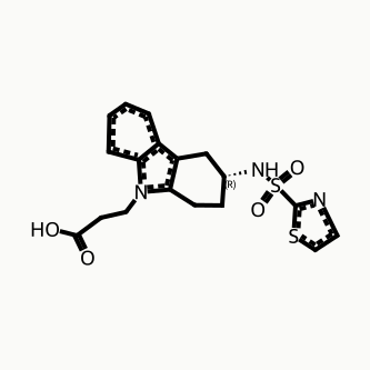 O=C(O)CCn1c2c(c3ccccc31)C[C@H](NS(=O)(=O)c1nccs1)CC2